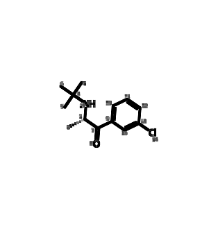 C[C@H](NC(C)(C)C)C(=O)c1cccc(Cl)c1